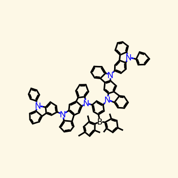 Cc1cc(C)c(B(c2cc(-n3c4ccccc4c4cc5c(cc43)c3ccccc3n5-c3ccc4c(c3)c3ccccc3n4-c3ccccc3)cc(-n3c4ccccc4c4cc5c(cc43)c3ccccc3n5-c3ccc4c(c3)c3ccccc3n4-c3ccccc3)c2)c2c(C)cc(C)cc2C)c(C)c1